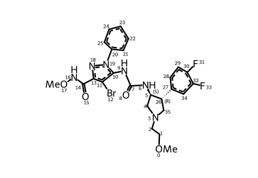 COCCN1C[C@@H](NC(=O)Nc2c(Br)c(C(=O)NOC)nn2-c2ccccc2)[C@H](c2ccc(F)c(F)c2)C1